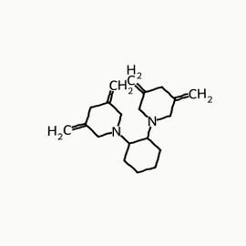 C=C1CC(=C)CN(C2CCCCC2N2CC(=C)CC(=C)C2)C1